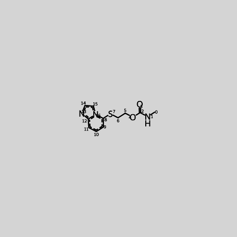 CNC(=O)OCCSc1cccc2nccn12